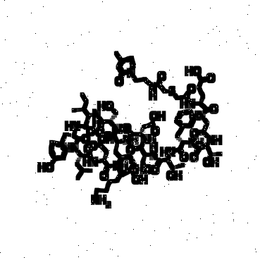 CC[C@H](C)[C@H](NC(=O)[C@H](CO)NC(=O)[C@H](Cc1ccc(O)cc1)NC(=O)[C@H](CC(=O)O)NC(=O)[C@H](CO)NC(=O)[C@@H](NC(=O)[C@H](Cc1ccccc1)NC(=O)[C@@H](NC(=O)CNC(=O)[C@H](CCC(=O)O)NC(=O)CSCC(=O)NCCn1ccc(C)cc1=O)[C@@H](C)O)[C@@H](C)O)C(=O)N[C@@H](Cc1ccc(O)cc1)C(=O)N[C@@H](CC(C)C)C(=O)N[C@@H](CC(=O)O)C(=O)N[C@H](C)CCCCN